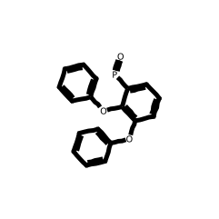 O=Pc1cccc(Oc2ccccc2)c1Oc1ccccc1